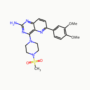 COc1ccc(-c2ccc3nc(N)nc(N4CCN(S(C)(=O)=O)CC4)c3n2)cc1OC